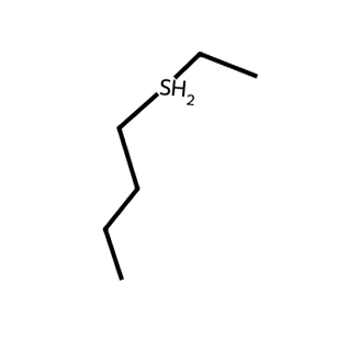 CCCC[SH2]CC